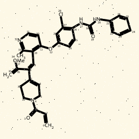 C=CC(=O)N1CC=C(/C(=C/c2c(Oc3ccc(NC(=O)Nc4ccccc4)c(Cl)c3)ccnc2C)C(=C)OC)CC1